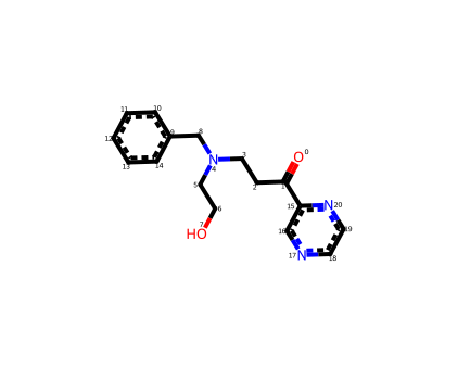 O=C(CCN(CCO)Cc1ccccc1)c1cnccn1